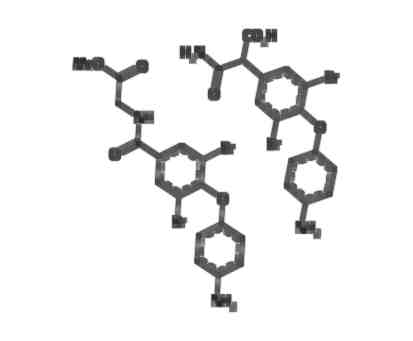 COC(=O)CNC(=O)c1cc(Br)c(Oc2ccc(N)cc2)c(Br)c1.NC(=O)C(C(=O)O)c1cc(Br)c(Oc2ccc(N)cc2)c(Br)c1